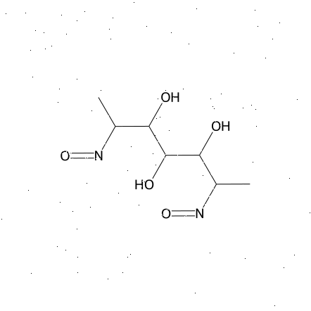 CC(N=O)C(O)C(O)C(O)C(C)N=O